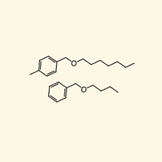 CCCCCCCOCc1ccc(C)cc1.CCCCOCc1ccccc1